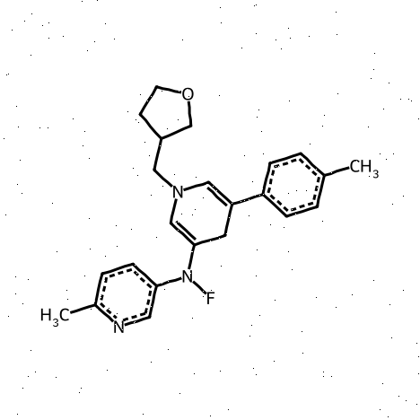 Cc1ccc(C2=CN(CC3CCOC3)C=C(N(F)c3ccc(C)nc3)C2)cc1